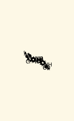 CCN1CCN(c2cc3[nH]c(C(=O)C4(C)CCC(NC(=O)OC)CC4)nc3cc2Cl)C(C)C1